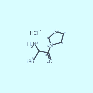 CCC(C)C(N)C(=O)N1CCSC1.Cl